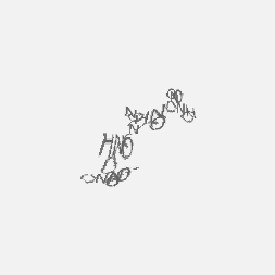 O=C(CCN(CCC(=O)Nc1ccc(Nc2ccccc2)c([N+](=O)[O-])c1)Cc1cccnc1)Nc1ccc(Nc2ccccc2)c([N+](=O)[O-])c1